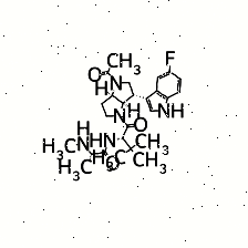 CN[C@@H](C)C(=O)N[C@H](C(=O)N1CC[C@@H]2[C@H]1[C@@H](c1c[nH]c3ccc(F)cc13)CN2C(C)=O)C(C)(C)C